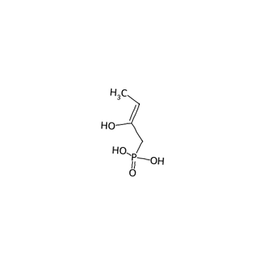 CC=C(O)CP(=O)(O)O